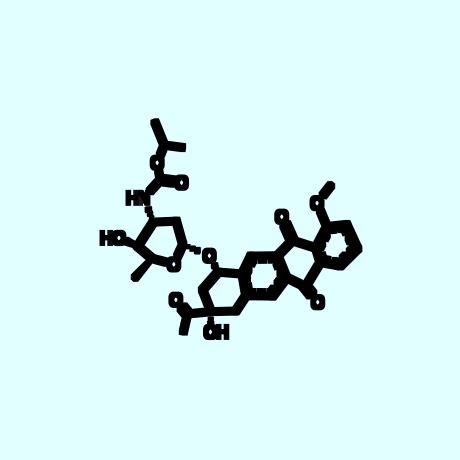 COc1cccc2c1C(=O)c1cc3c(cc1C2=O)C[C@@](O)(C(C)=O)C[C@@H]3O[C@H]1C[C@@H](NC(=O)OC(C)C)[C@H](O)[C@H](C)O1